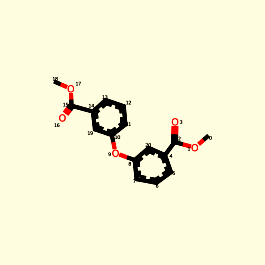 COC(=O)c1cccc(Oc2cccc(C(=O)OC)c2)c1